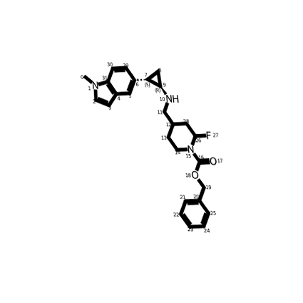 Cn1ccc2cc([C@@H]3C[C@H]3NCC3CCN(C(=O)OCc4ccccc4)C(F)C3)ccc21